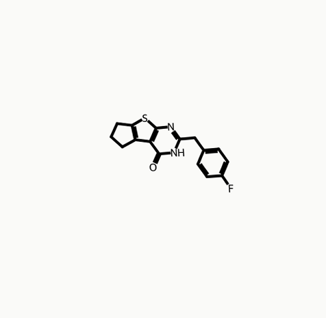 O=c1[nH]c(Cc2ccc(F)cc2)nc2sc3c(c12)CCC3